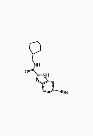 N#Cc1ccc2cc(C(=O)NCC3CCCCC3)[nH]c2c1